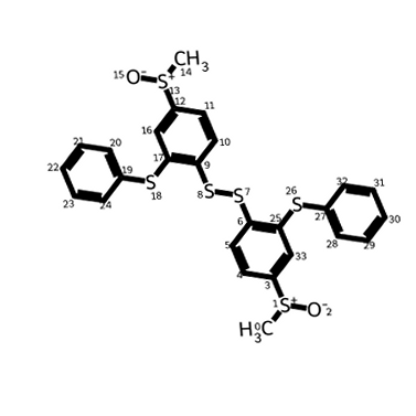 C[S+]([O-])c1ccc(SSc2ccc([S+](C)[O-])cc2Sc2ccccc2)c(Sc2ccccc2)c1